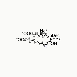 CCCCCCC(O)C/C=C\CCCCCCCC(=O)[O-].CCCCCCCCCCCCCCCCCC(=O)[O-].[Na+].[Na+]